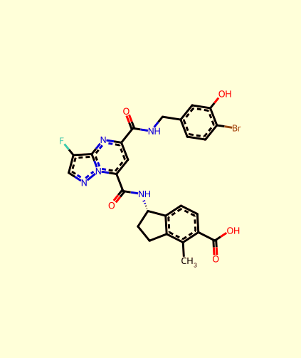 Cc1c(C(=O)O)ccc2c1CC[C@@H]2NC(=O)c1cc(C(=O)NCc2ccc(Br)c(O)c2)nc2c(F)cnn12